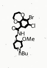 CCCCN1CC[C@@H](CNC(=O)c2cc(Cl)c(Br)c3c2OCCCO3)C(OC)C1